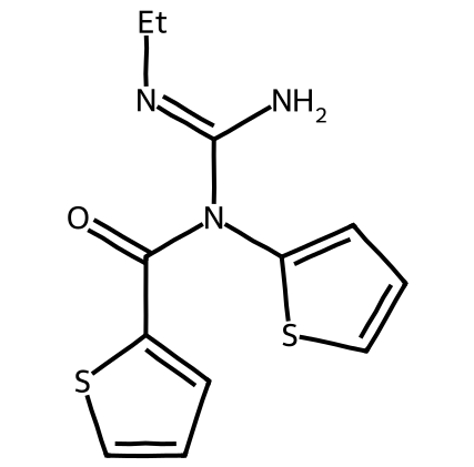 CCN=C(N)N(C(=O)c1cccs1)c1cccs1